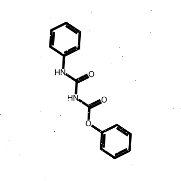 O=C(NC(=O)Oc1ccccc1)Nc1ccccc1